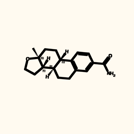 C[C@]12CC[C@@H]3c4ccc(C(N)=O)cc4CC[C@H]3[C@@H]1CCO2